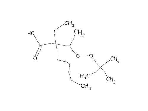 CCCCC(CC)(C(=O)O)C(C)OOC(C)(C)C